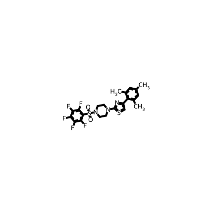 Cc1cc(C)c(-c2csc(N3CCN(S(=O)(=O)c4c(F)c(F)c(F)c(F)c4F)CC3)n2)c(C)c1